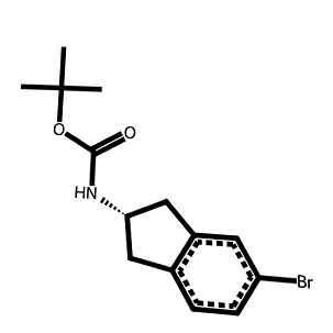 CC(C)(C)OC(=O)N[C@H]1Cc2ccc(Br)cc2C1